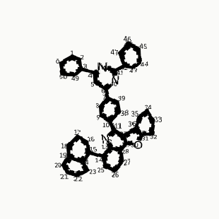 c1ccc(-c2cc(-c3ccc(-c4nc5c(-c6cccc7ccccc67)cccc5c5oc6ccccc6c45)cc3)nc(-c3ccccc3)n2)cc1